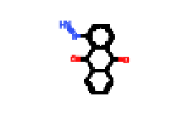 N=Nc1cccc2c1C(=O)C1C=CC=CC1C2=O